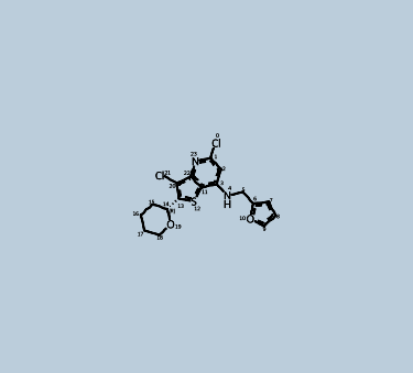 Clc1cc(NCc2ccco2)c2sc([C@H]3CCCCO3)c(Cl)c2n1